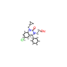 O=C1N(CC2CC2)c2ccc(Cl)cc2C(c2ccccc2)N1CCO